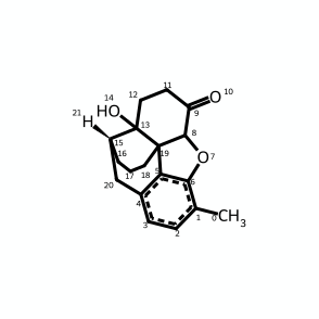 Cc1ccc2c3c1OC1C(=O)CCC4(O)[C@H](CCCC314)C2